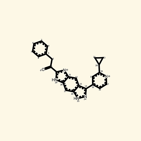 O=C(Cc1ccccc1)c1nc2cc3c(-c4ccnc(C5CC5)c4)n[nH]c3cc2[nH]1